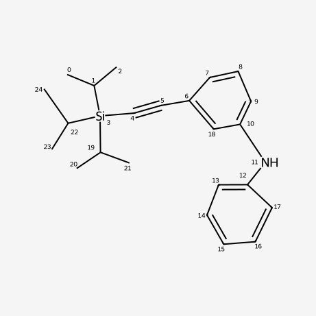 CC(C)[Si](C#Cc1cccc(Nc2ccccc2)c1)(C(C)C)C(C)C